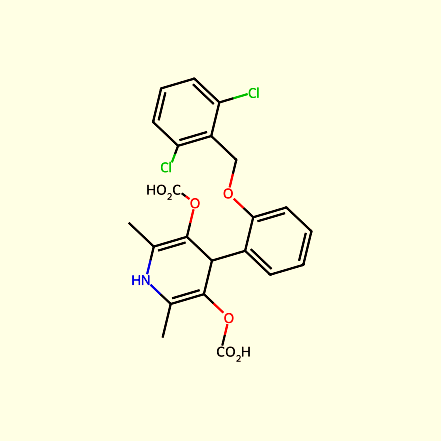 CC1=C(OC(=O)O)C(c2ccccc2OCc2c(Cl)cccc2Cl)C(OC(=O)O)=C(C)N1